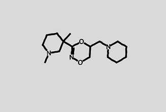 CN1CCCC(C)(C2=NOCC(CN3CCCCC3)O2)C1